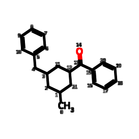 CC1CC(Cc2ccccc2)CC(C(=O)c2ccccc2)C1